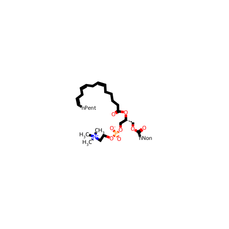 CCCCC/C=C\C/C=C\C/C=C\CCCCC(=O)O[C@H](COC(=O)CCCCCCCCC)COP(=O)([O-])OCC[N+](C)(C)C